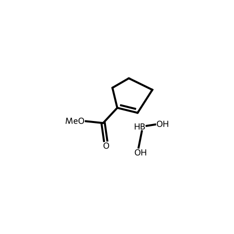 COC(=O)C1=CCCC1.OBO